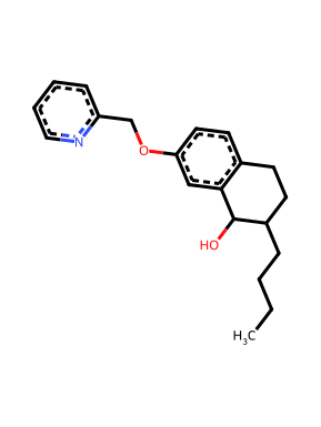 CCCCC1CCc2ccc(OCc3ccccn3)cc2C1O